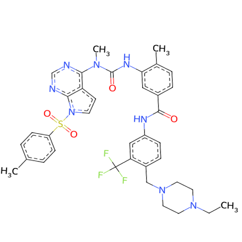 CCN1CCN(Cc2ccc(NC(=O)c3ccc(C)c(NC(=O)N(C)c4ncnc5c4ccn5S(=O)(=O)c4ccc(C)cc4)c3)cc2C(F)(F)F)CC1